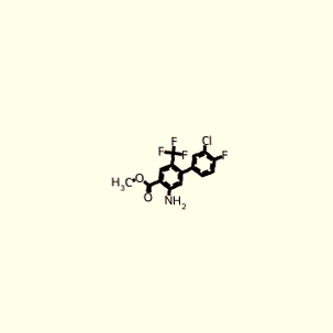 COC(=O)c1cc(C(F)(F)F)c(-c2ccc(F)c(Cl)c2)cc1N